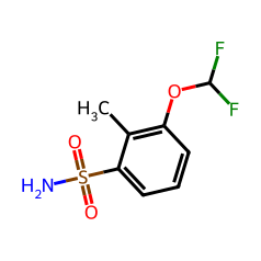 Cc1c(OC(F)F)cccc1S(N)(=O)=O